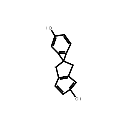 Oc1ccc2c(c1)CC1([C]2)c2ccc(O)cc21